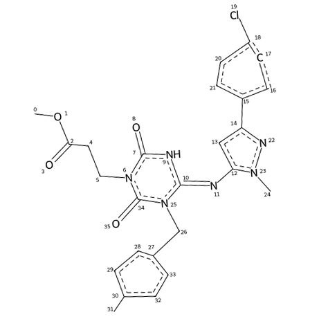 COC(=O)CCn1c(=O)[nH]/c(=N\c2cc(-c3ccc(Cl)cc3)nn2C)n(Cc2ccc(C)cc2)c1=O